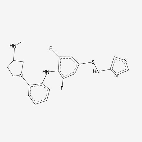 CNC1CCN(c2ccccc2Nc2c(F)cc(SNc3cscn3)cc2F)C1